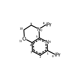 CC(C)c1ccc2c(n1)N(C(C)C)CCO2